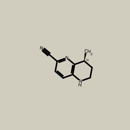 C[C@H]1CCNc2ccc(C#N)nc21